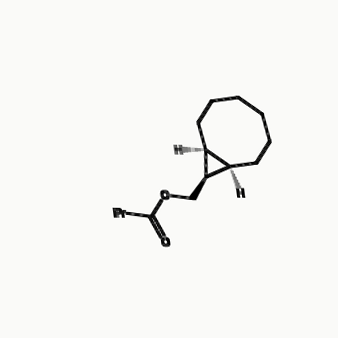 CC(C)C(=O)OC[C@@H]1[C@@H]2CCCCCC[C@@H]21